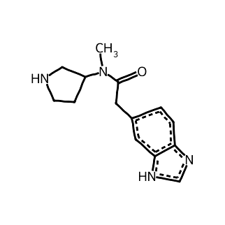 CN(C(=O)Cc1ccc2nc[nH]c2c1)C1CCNC1